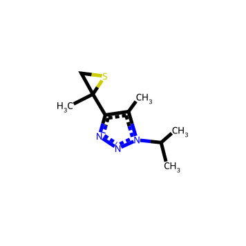 Cc1c(C2(C)CS2)nnn1C(C)C